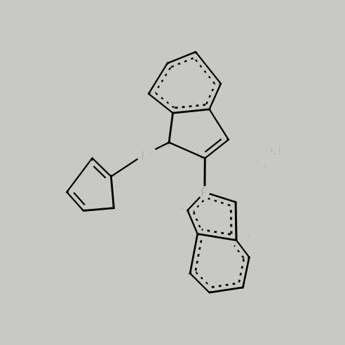 C1=CC[C]([Ti+2][CH]2C(p3cc4ccccc4c3)=Cc3ccccc32)=C1.[Cl-].[Cl-]